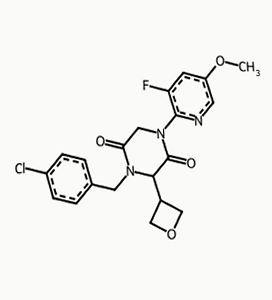 COc1cnc(N2CC(=O)N(Cc3ccc(Cl)cc3)C(C3COC3)C2=O)c(F)c1